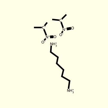 C[C-](C)[N+](=O)[O-].C[C-](C)[N+](=O)[O-].[NH3+]CCCCCC[NH3+]